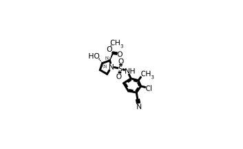 COC(=O)[C@@H]1[C@@H](O)CCN1S(=O)(=O)Nc1ccc(C#N)c(Cl)c1C